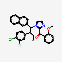 [CH2]CC(c1ccc(Cl)c(Cl)c1)C(c1ccc2ccccc2c1)n1ccnc1C(=O)c1ccccc1OC